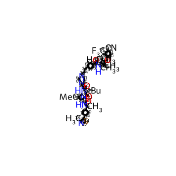 CO[C@@H]1C[C@@H](C(=O)N[C@@H](C)c2ccc(-c3scnc3C)cc2)N(C(=O)[C@@H](NC(=O)CN2CCN(CCCc3ccc(C(=O)NC4C(C)(C)C(Oc5ccc(C#N)c(C(F)(F)F)c5)C4(C)C)cc3)CC2)C(C)(C)C)C1